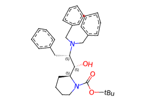 CC(C)(C)OC(=O)N1CCCC[C@H]1[C@@H](O)[C@H](Cc1ccccc1)N(Cc1ccccc1)Cc1ccccc1